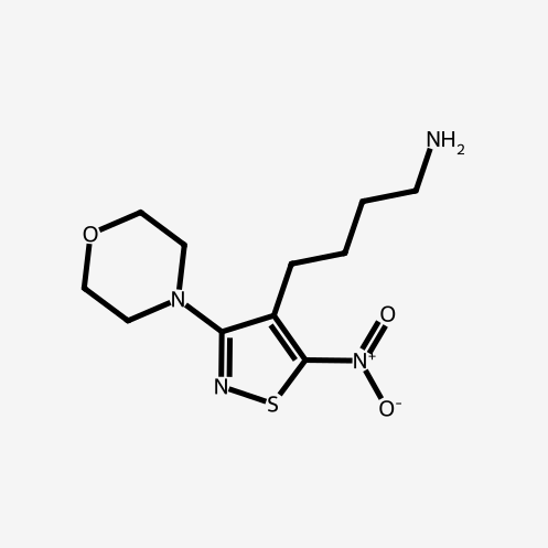 NCCCCc1c(N2CCOCC2)nsc1[N+](=O)[O-]